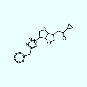 O=C(CC1COC2C1OCC2n1cc(Cc2ccccc2)nn1)C1CC1